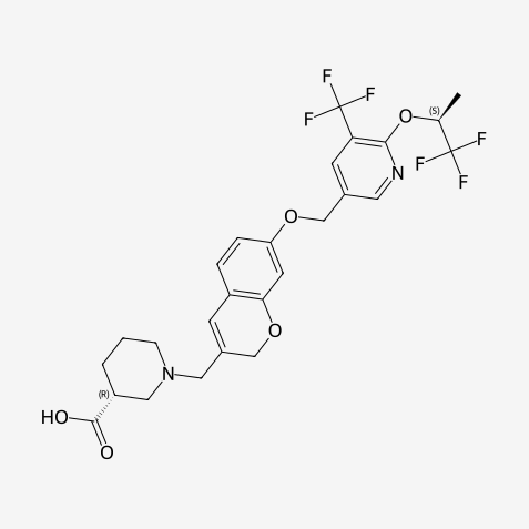 C[C@H](Oc1ncc(COc2ccc3c(c2)OCC(CN2CCC[C@@H](C(=O)O)C2)=C3)cc1C(F)(F)F)C(F)(F)F